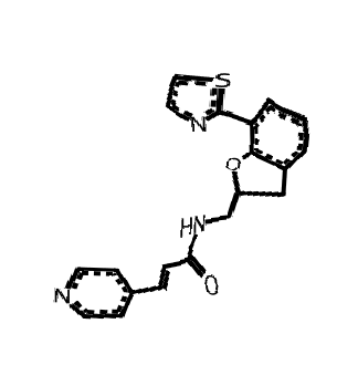 O=C(C=Cc1ccncc1)NCC1Cc2cccc(-c3nccs3)c2O1